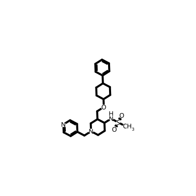 CS(=O)(=O)NC1CCN(Cc2ccncc2)CC1COC1CCC(c2ccccc2)CC1